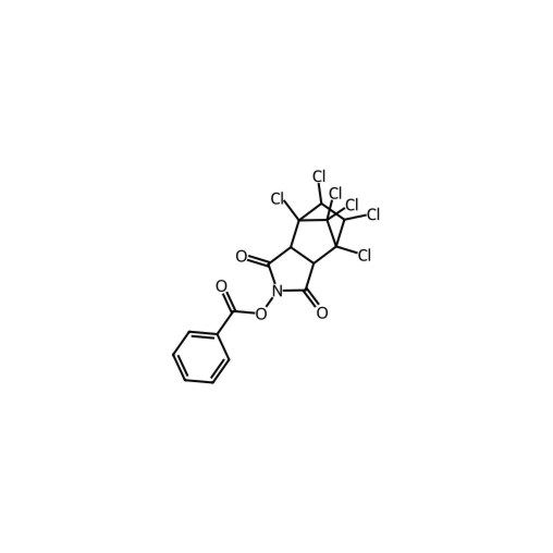 O=C(ON1C(=O)C2C(C1=O)C1(Cl)C(Cl)C(Cl)C2(Cl)C1(Cl)Cl)c1ccccc1